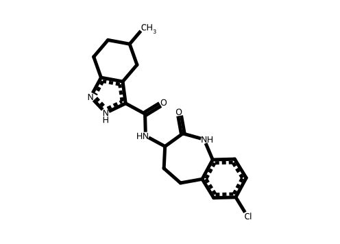 CC1CCc2n[nH]c(C(=O)NC3CCc4cc(Cl)ccc4NC3=O)c2C1